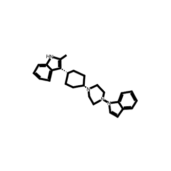 Cc1[nH]c2ccccc2c1[C@H]1CC[C@@H](N2CCN(n3ccc4ccccc43)CC2)CC1